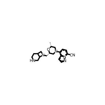 C[C@@H]1CN(c2ccc(C#N)n3nccc23)C[C@H](CN2CC3CCNCC32)O1